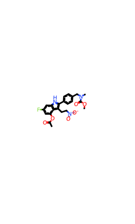 COC(=O)N(C)Cc1ccc(-c2[nH]c3cc(F)cc(OC(C)=O)c3c2CC[N+](=O)[O-])cc1